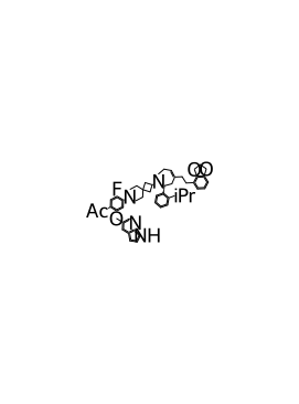 CC(=O)c1cc(F)c(N2CCC3(CC2)CC(N2CCC=C(CCc4cccc5c4OCO5)C[C@H]2c2ccccc2C(C)C)C3)cc1Oc1cnc2[nH]ccc2c1